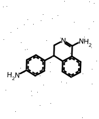 NC1=NCC(c2ccc(N)cc2)c2ccccc21